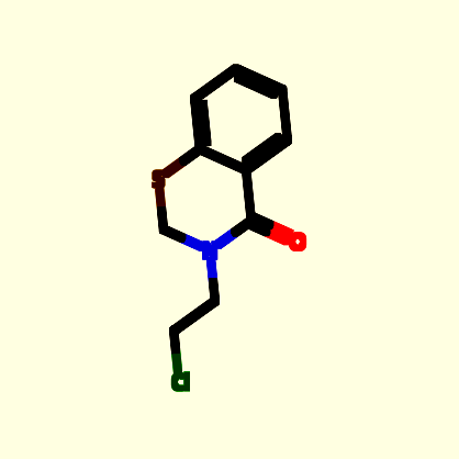 O=C1c2ccccc2SCN1CCCl